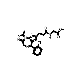 Cc1nnc2n1-c1sc(CCC(=O)NCC(=O)O)cc1C(c1ccccc1Cl)=NC2